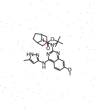 COc1ccc2c(Nc3cc(C)[nH]n3)nc(N(C)C3CC4CCC(C3)N4C(=O)OC(C)(C)C)nc2c1